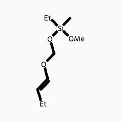 CCC=COCO[Si](C)(CC)OC